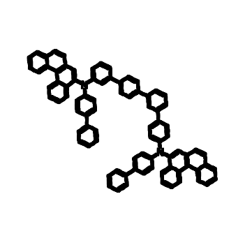 c1ccc(-c2ccc(N(c3ccc(-c4cccc(-c5ccc(-c6cccc(N(c7ccc(-c8ccccc8)cc7)c7cc8ccc9ccccc9c8c8ccccc78)c6)cc5)c4)cc3)c3cc4ccc5ccccc5c4c4ccccc34)cc2)cc1